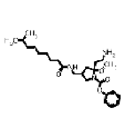 COC1(CCN)CC(CNC(=O)CCCC/C=C/C(C)C)CN1C(=O)Oc1ccccc1